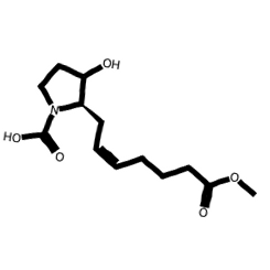 COC(=O)CCC/C=C\C[C@@H]1C(O)CCN1C(=O)O